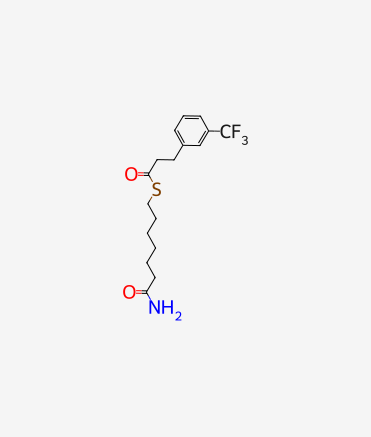 NC(=O)CCCCCCSC(=O)CCc1cccc(C(F)(F)F)c1